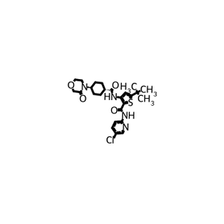 CC(C)(C)c1cc(NC(=O)[C@H]2CC[C@H](N3CCOCC3=O)CC2)c(C(=O)Nc2ccc(Cl)cn2)s1